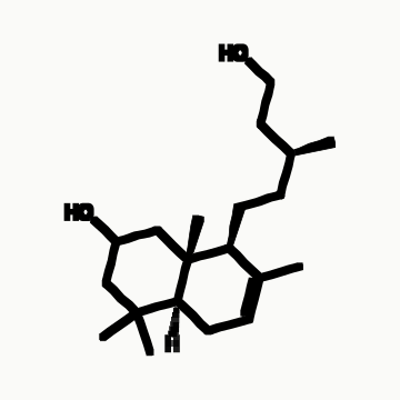 CC1=CC[C@H]2C(C)(C)CC(O)C[C@]2(C)[C@H]1CC[C@H](C)CCO